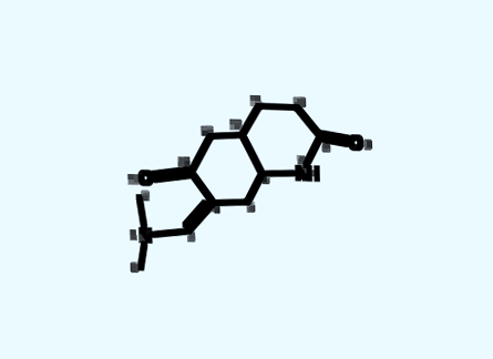 CN(C)/C=C1/CC2NC(=O)CCC2CC1=O